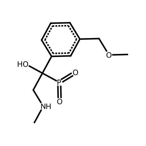 CNCC(O)(c1cccc(COC)c1)P(=O)=O